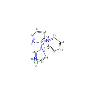 C1=C[N+](c2ccccn2)(c2ccccn2)C=N1.[Cl-]